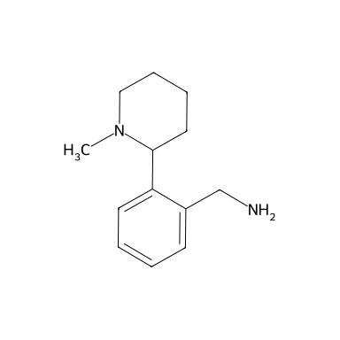 CN1CCCCC1c1ccccc1CN